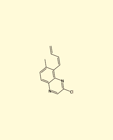 C=C/C=C\c1c(C)ccc2ncc(Cl)nc12